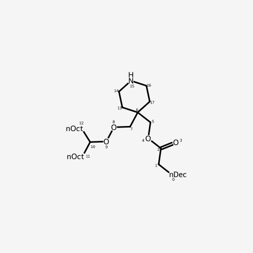 CCCCCCCCCCCC(=O)OCC1(COOC(CCCCCCCC)CCCCCCCC)CCNCC1